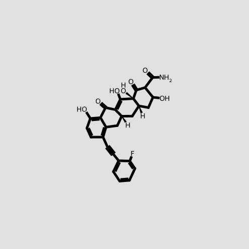 NC(=O)C1C(=O)[C@@]2(O)C(O)=C3C(=O)c4c(O)ccc(C#Cc5ccccc5F)c4C[C@H]3C[C@H]2CC1O